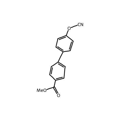 COC(=O)c1ccc(-c2ccc(OC#N)cc2)cc1